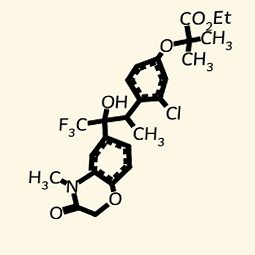 CCOC(=O)C(C)(C)Oc1ccc(C(C)C(O)(c2ccc3c(c2)N(C)C(=O)CO3)C(F)(F)F)c(Cl)c1